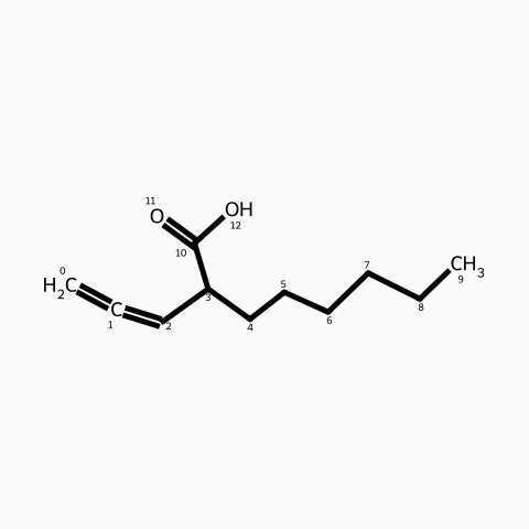 C=C=CC(CCCCCC)C(=O)O